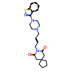 O=C1CC2(CCCC2)CC(=O)N1CC=CCN1CCN(c2nsc3ccccc23)CC1